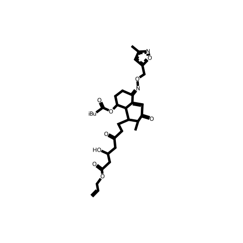 C=CCOC(=O)CC(O)CC(=O)CCC1C(C)C(=O)C=C2/C(=N/OCc3cc(C)no3)CCC(OC(=O)C(C)CC)C21